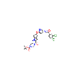 Cn1c(C(=O)N2CCN(C(=O)OC(C)(C)C)CC2)cc2cc(Oc3ccc(NCC(=O)c4ccc(Cl)c(Cl)c4)cn3)ccc21